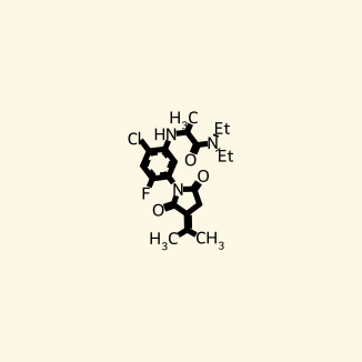 CCN(CC)C(=O)C(C)Nc1cc(N2C(=O)CC(=C(C)C)C2=O)c(F)cc1Cl